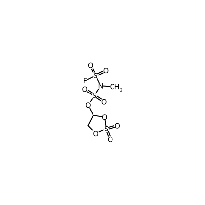 CN(S(=O)(=O)F)S(=O)(=O)OC1COS(=O)(=O)O1